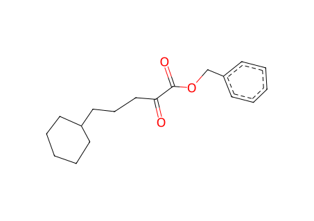 O=C(CCCC1CCCCC1)C(=O)OCc1ccccc1